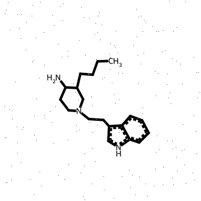 CCCCC1CN(CCc2c[nH]c3ccccc23)CCC1N